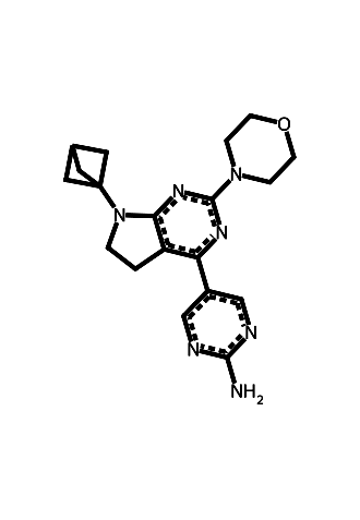 Nc1ncc(-c2nc(N3CCOCC3)nc3c2CCN3C23CC(C2)C3)cn1